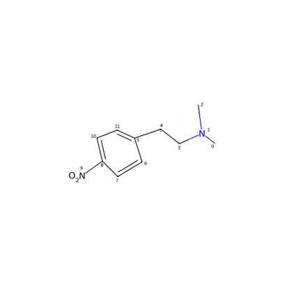 CN(C)C[CH]c1ccc([N+](=O)[O-])cc1